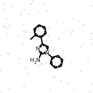 Cc1ccccc1-c1cn(-c2ccccc2)c(N)n1